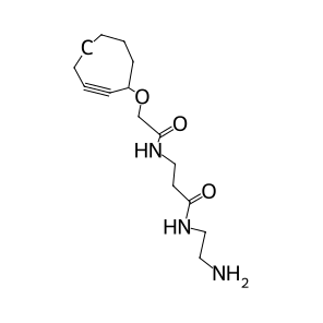 NCCNC(=O)CCNC(=O)COC1C#CCCCCC1